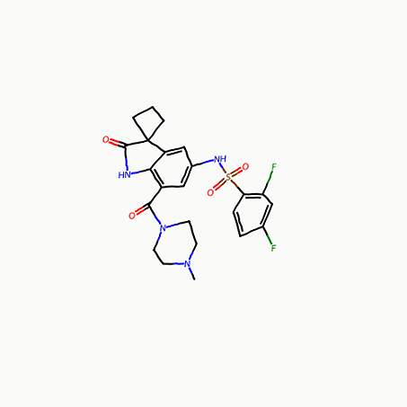 CN1CCN(C(=O)c2cc(NS(=O)(=O)c3ccc(F)cc3F)cc3c2NC(=O)C32CCC2)CC1